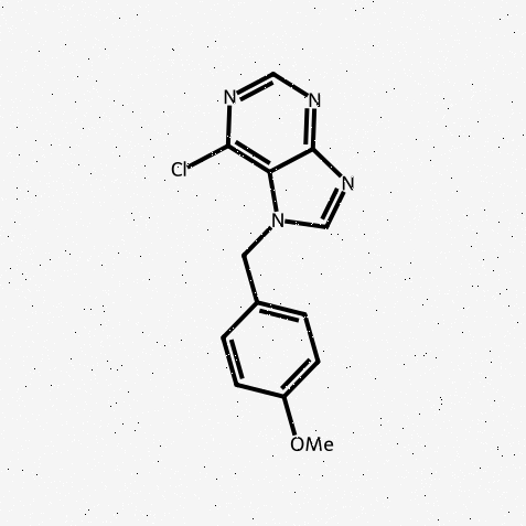 COc1ccc(Cn2cnc3ncnc(Cl)c32)cc1